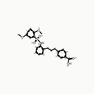 COc1ccc(OC)c(S(=O)(=O)Nc2ccccc2CCCc2ccc(C(=O)O)cc2)c1